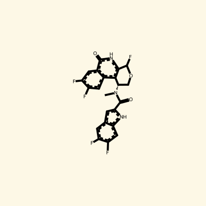 CN(C(=O)c1cc2cc(F)c(F)cc2[nH]1)[C@H]1COC(F)c2[nH]c(=O)c3cc(F)c(F)cc3c21